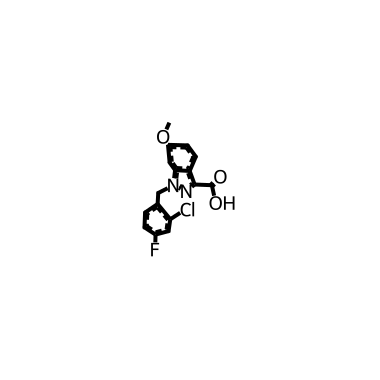 COc1ccc2c(C(=O)O)nn(Cc3ccc(F)cc3Cl)c2c1